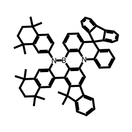 CC1(C)CCC(C)(C)c2cc(N3B4c5cccc6c5N(c5ccccc5C65c6ccccc6-c6ccccc65)c5cc6c(c(c54)-c4cc5c(cc43)C(C)(C)CCC5(C)C)C(C)(C)c3ccccc3-6)ccc21